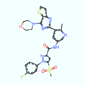 Cc1ncc(NC(=O)c2cc(S(C)(=O)=O)n(-c3ccc(F)cc3)n2)cc1-c1nc(N2CCOCC2)c2sccc2n1